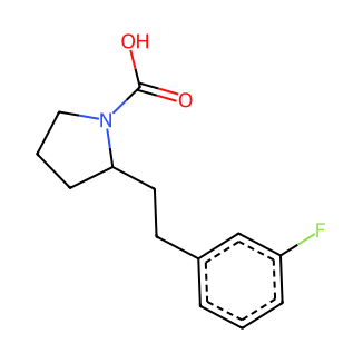 O=C(O)N1CCCC1CCc1cccc(F)c1